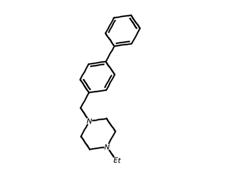 CCN1CCN(Cc2ccc(-c3ccccc3)cc2)CC1